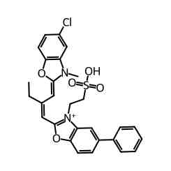 CCC(=Cc1oc2ccc(-c3ccccc3)cc2[n+]1CCS(=O)(=O)O)C=C1Oc2ccc(Cl)cc2N1C